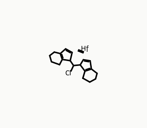 C=C.ClC(C1C=CC2=C1CCCC2)C1C=CC2=C1CCCC2.[Hf]